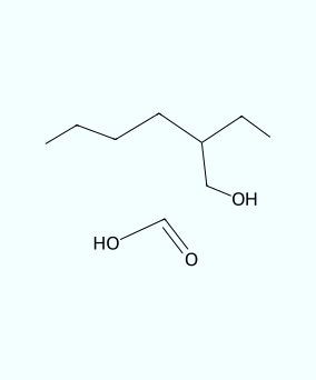 CCCCC(CC)CO.O=CO